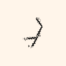 CCCCCCCC/C=C\CCCCCCCC(=O)OCC(CCCCCCCC)CCCCCCCC